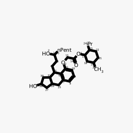 CCCCCC(O)CCC1c2c(cccc2OCC(=O)OC2CC(C)CCC2C(C)C)CC2CC(O)CC21